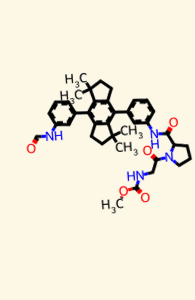 COC(=O)NCC(=O)N1CCCC1C(=O)Nc1cccc(-c2c3c(c(-c4cccc(NC=O)c4)c4c2C(C)(C)CC4)C(C)(C)CC3)c1